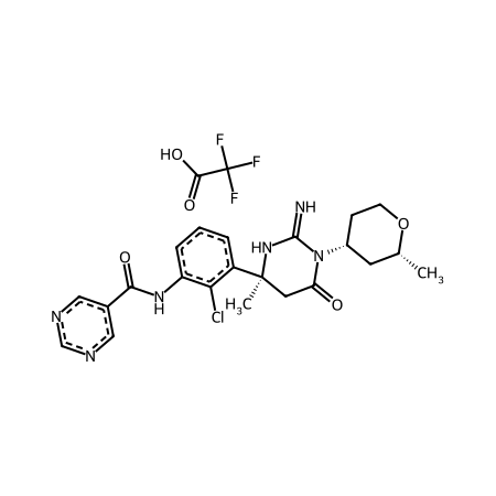 C[C@@H]1C[C@H](N2C(=N)N[C@](C)(c3cccc(NC(=O)c4cncnc4)c3Cl)CC2=O)CCO1.O=C(O)C(F)(F)F